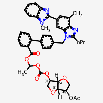 CCCc1nc2c(C)cc(-c3nc4ccccc4n3C)cc2n1Cc1ccc(-c2ccccc2C(=O)OC(C)OC(=O)O[C@@H]2CO[C@@H]3[C@H]2OC[C@H]3OC(C)=O)cc1